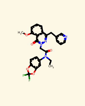 CCN(C(=O)Cn1nc(Cc2cccnc2)c2cccc(OC)c2c1=O)c1ccc2c(c1)OC(F)(F)O2